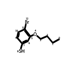 CCCCOc1cc(S)ccc1Br